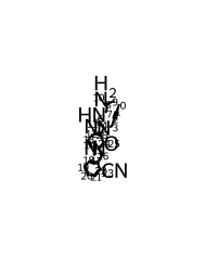 CC#CCn1c(NCC(C)N)nc2cnn(Cc3ccccc3C#N)c(=O)c21